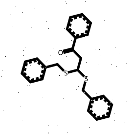 O=C(CC(SCc1ccccc1)SCc1ccccc1)c1ccccc1